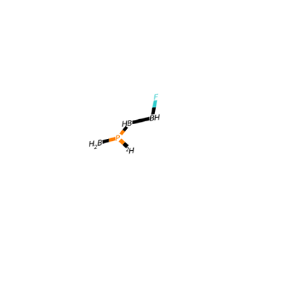 [2H]P(B)BBF